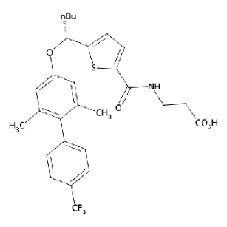 CCCC[C@@H](Oc1cc(C)c(-c2ccc(C(F)(F)F)cc2)c(C)c1)c1ccc(C(=O)NCCC(=O)O)s1